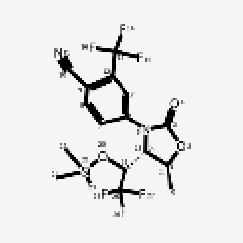 C[C@@H]1OC(=O)N(c2ccc(C#N)c(C(F)(F)F)c2)[C@H]1C(O[Si](C)(C)C)C(F)(F)F